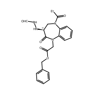 CCC(=O)N1C[C@H](NBC=O)C(=O)N(CC(=O)OCc2ccccc2)c2ccccc21